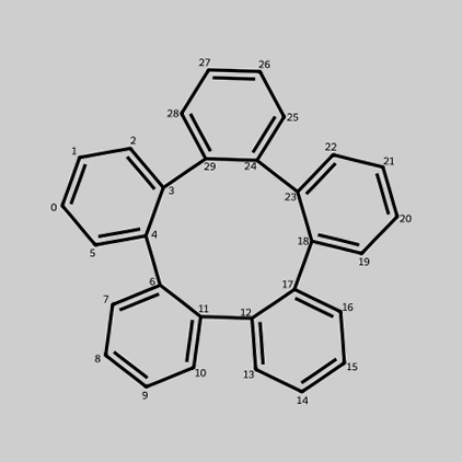 c1ccc2c(c1)c1ccccc1c1ccccc1c1ccccc1c1ccccc21